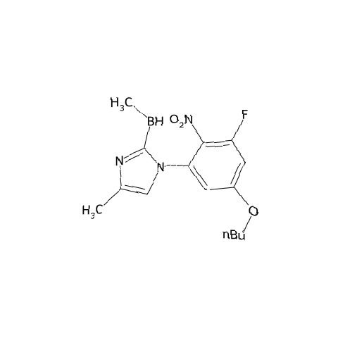 CBc1nc(C)cn1-c1cc(OCCCC)cc(F)c1[N+](=O)[O-]